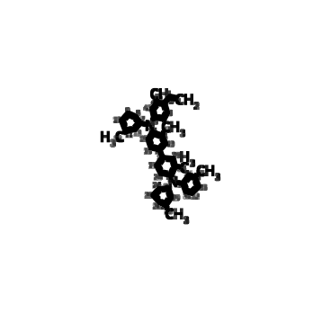 C=Cc1ccc(N(c2cccc(C)c2)c2ccc(-c3ccc(N(c4cccc(C)c4)c4cccc(C)c4)c(C)c3)cc2C)cc1C